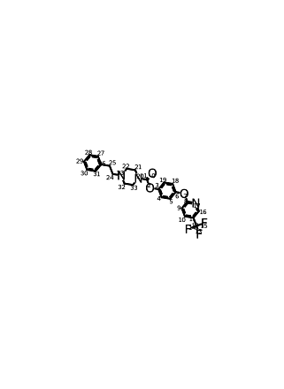 O=C(Oc1ccc(Oc2ccc(C(F)(F)F)cn2)cc1)N1CCN(CCc2ccccc2)CC1